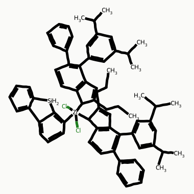 CCCC1=Cc2c(ccc(-c3ccccc3)c2-c2cc(C(C)C)cc(C(C)C)c2)[CH]1[Zr]([Cl])([Cl])([c]1cccc2c1[SiH2]c1ccccc1-2)[CH]1C(CCC)=Cc2c1ccc(-c1ccccc1)c2-c1cc(C(C)C)cc(C(C)C)c1